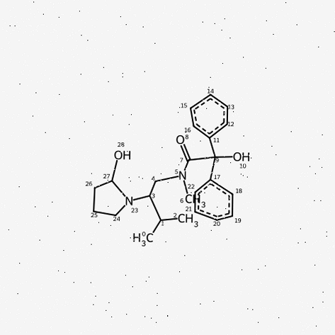 CC(C)C(CN(C)C(=O)C(O)(c1ccccc1)c1ccccc1)N1CCCC1O